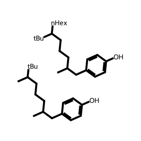 CC(CCCC(C)C(C)(C)C)Cc1ccc(O)cc1.CCCCCCC(CCCC(C)Cc1ccc(O)cc1)C(C)(C)C